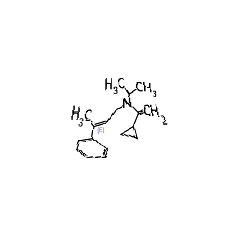 C=C(C1CC1)N(C/C=C(\C)c1ccccc1)C(C)C